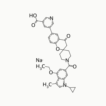 CCOc1cc(C(=O)N2CCC3(CC2)CC(=O)c2cc(-c4cncc(C(=O)O)c4)ccc2O3)cc2c1c(C)cn2C1CC1.[Na]